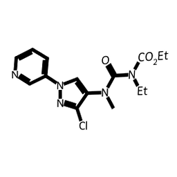 CCOC(=O)N(CC)C(=O)N(C)c1cn(-c2cccnc2)nc1Cl